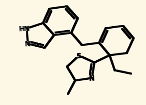 CCC1(C2=NC(C)CS2)CC=CC=C1Cc1cccc2[nH]ncc12